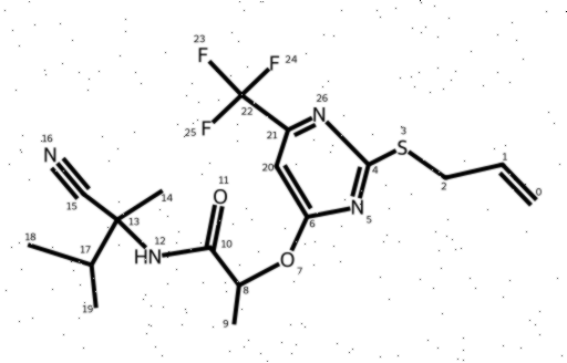 C=CCSc1nc(OC(C)C(=O)NC(C)(C#N)C(C)C)cc(C(F)(F)F)n1